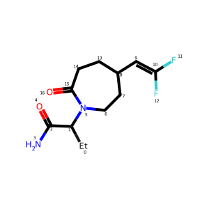 CCC(C(N)=O)N1CCC(C=C(F)F)CCC1=O